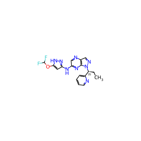 CC[C@@H](c1ccccn1)n1ncc2ncc(Nc3cc(OC(F)F)[nH]n3)nc21